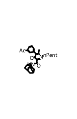 CCCCCn1cc(C(=O)NC23CC4CC(CC(C4)C2)C3)c(=O)c(-c2cccc(C(C)=O)c2)c1C